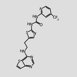 O=C(Nc1cc(C(F)(F)F)ccn1)Nc1ncc(CCNc2ncnc3ccsc23)s1